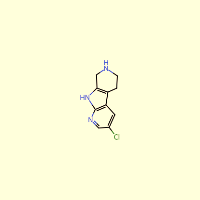 Clc1cnc2[nH]c3c(c2c1)CCNC3